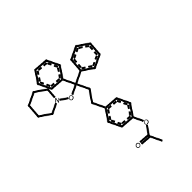 CC(=O)Oc1ccc(CCC(ON2CCCCC2)(c2ccccc2)c2ccccc2)cc1